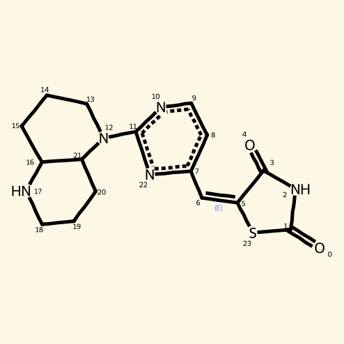 O=C1NC(=O)/C(=C\c2ccnc(N3CCCC4NCCCC43)n2)S1